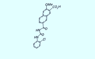 COc1cc2ccc(C(=O)NC(=O)Nc3ccccc3Cl)cc2cc1C(=O)O